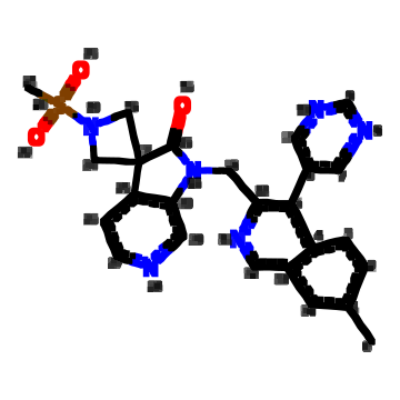 Cc1ccc2c(-c3cncnc3)c(CN3C(=O)C4(CN(S(C)(=O)=O)C4)c4ccncc43)ncc2c1